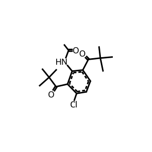 CC(=O)Nc1c(C(=O)C(C)(C)C)ccc(Cl)c1C(=O)C(C)(C)C